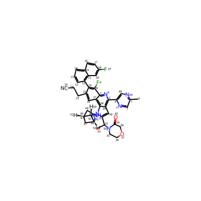 Cc1cnc(-c2nc3c(F)c(-c4cccc5ccc(F)cc45)c(CCC#N)cc3c3c2cc(C(C)N2CCOCC2=O)n3[C@H]2[C@H]3CN[C@@H]2C3)cn1